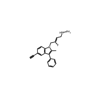 C#Cc1ccc2c(c1)c(-c1ccccc1)c(C)n2C/C(F)=C/CNP